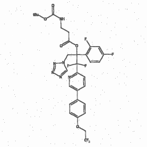 CC(C)(C)OC(=O)NCCC(=O)OC(Cn1cnnn1)(c1ccc(F)cc1F)C(F)(F)c1ccc(-c2ccc(OCC(F)(F)F)cc2)cn1